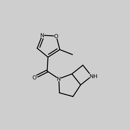 Cc1oncc1C(=O)N1CCC2NCC21